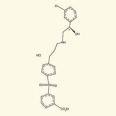 CCOC(=O)c1cccc(S(=O)(=O)c2ccc(CCCNC[C@H](O)c3cccc(Cl)c3)cc2)c1.Cl